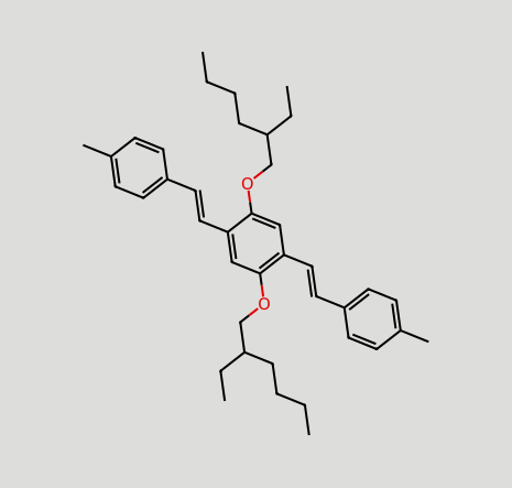 CCCCC(CC)COc1cc(/C=C/c2ccc(C)cc2)c(OCC(CC)CCCC)cc1/C=C/c1ccc(C)cc1